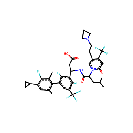 Cc1cc(C2CC2)c(F)c(C)c1-c1cc(C(F)(F)F)c(F)c(C(CC(=O)O)NC(=O)C(CC(C)C)n2cc(CCN3CCC3)c(C(F)(F)F)cc2=O)c1F